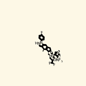 C[C@H]1C2=CNN(c3ccc(F)cc3)C2=CC2=C1[C@@H](CN(CC(O)C(F)F)S(=O)(=O)c1cn(C)nc1C(F)(F)F)CC2